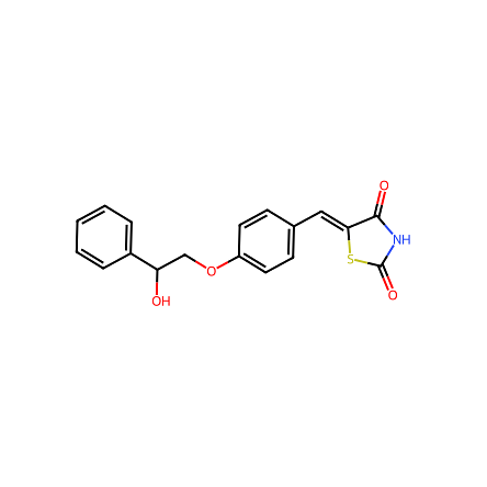 O=C1NC(=O)C(=Cc2ccc(OCC(O)c3ccccc3)cc2)S1